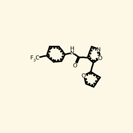 O=C(Nc1ccc(C(F)(F)F)cc1)c1cnoc1-c1ccco1